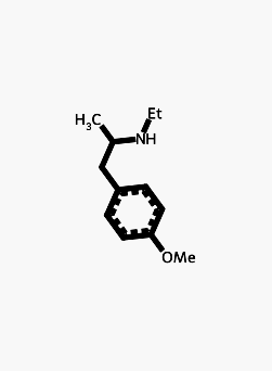 CCN[C](C)Cc1ccc(OC)cc1